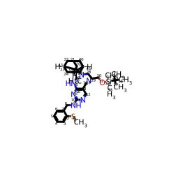 CSc1ccccc1CNc1ncc(C#N)c(NC[C@]23CC4C[C@H](C2)[C@@H](N(C)CCCO[Si](C)(C)C(C)(C)C)[C@@H](C4)C3)n1